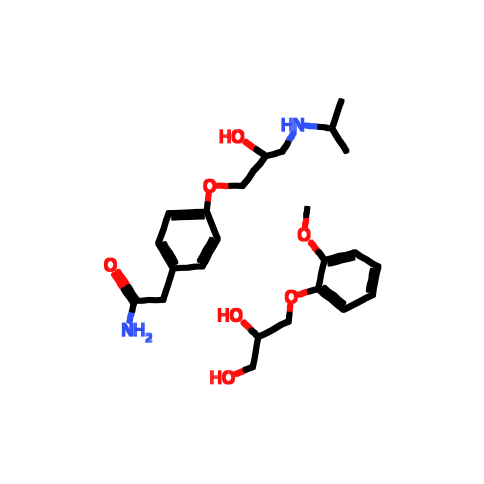 CC(C)NCC(O)COc1ccc(CC(N)=O)cc1.COc1ccccc1OCC(O)CO